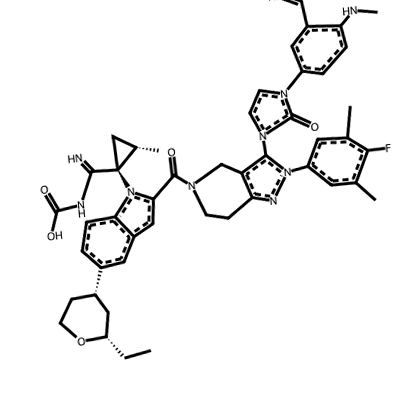 CC[C@H]1C[C@@H](c2ccc3c(c2)cc(C(=O)N2CCc4nn(-c5cc(C)c(F)c(C)c5)c(-n5ccn(-c6ccc(NC)c(C=N)c6)c5=O)c4C2)n3[C@@]2(C(=N)NC(=O)O)C[C@@H]2C)CCO1